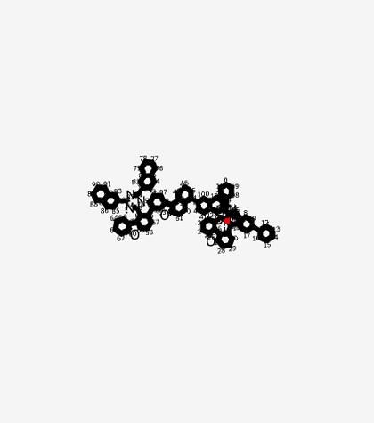 c1ccc(C2=NC(c3ccc(-c4ccccc4)cc3)NC(c3cccc4oc5cccc(-c6cccc7c6oc6c8ccc(-c9cccc%10c9ccc9oc%11c(-c%12ccc%13oc%14ccccc%14c%13c%12-c%12nc(-c%13ccc%14ccccc%14c%13)nc(-c%13ccc%14ccccc%14c%13)n%12)cccc%11c9%10)cc8ccc76)c5c34)=N2)cc1